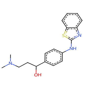 CN(C)CCC(O)c1ccc(Nc2nc3ccccc3s2)cc1